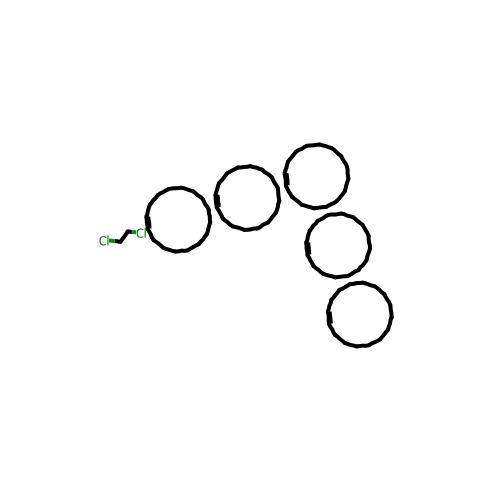 C1=CCCCCCCCCCCCCCC1.C1=CCCCCCCCCCCCCCC1.C1=CCCCCCCCCCCCCCC1.C1=CCCCCCCCCCCCCCC1.C1=CCCCCCCCCCCCCCC1.ClCCCl